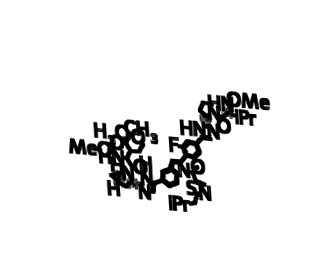 CON[C@H](C(=O)N1CCC[C@H]1c1ncc(-c2cc(F)c3c(c2)OC(c2cnc(CC(C)C)s2)n2c-3cc3cc(-c4cnc([C@@H]5C[C@H]6C[C@H]6N5C(=O)C(NC(=O)OC)C5CCOC(C)(C)C5)[nH]4)ccc32)[nH]1)C(C)C